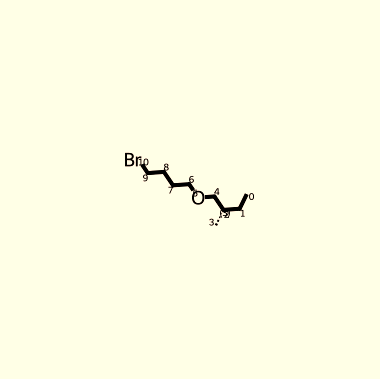 CC[C@H](C)COCCCCBr